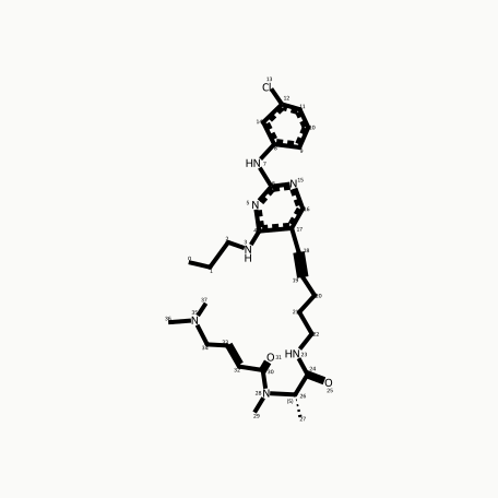 CCCNc1nc(Nc2cccc(Cl)c2)ncc1C#CCCCNC(=O)[C@H](C)N(C)C(=O)C=CCN(C)C